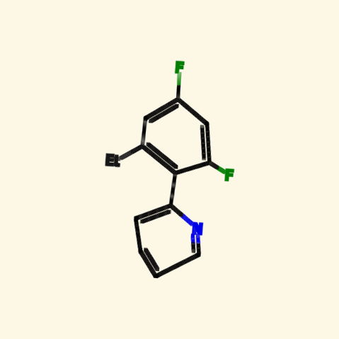 CCc1cc(F)cc(F)c1-c1ccccn1